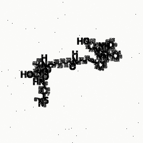 Cc1ncsc1-c1ccc(CNC(=O)[C@@H]2C[C@@H](O)CN2C(=O)[C@@H](NC(=O)CCCCCCCC(=O)NCCCCC#Cc2cccc(Cn3c(-c4ccccc4)c(-c4ccccc4)c4c(=N)n(C5CCC(O)CC5)cnc43)c2)C(C)(C)C)cc1